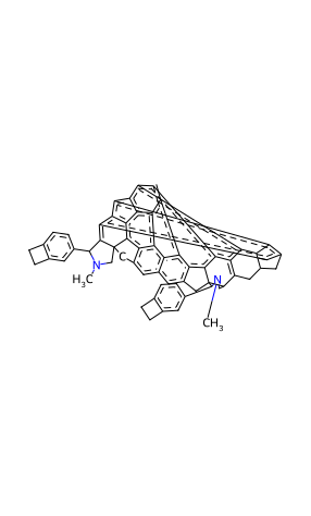 CN1CC23Cc4cc5cc6c7c8c9c%10c%11c%12c9c9c7c5c5c4c2c2c4c(cc7c(c4c%12c2c59)C%11C(CC=%10C2CN(C)C(c4ccc5c(c4)CC5)C82C6)C7)=C3C1c1ccc2c(c1)CC2